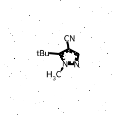 Cn1ncc(C#N)c1C(C)(C)C